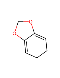 C1=C2OCOC2=CCC1